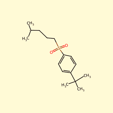 C[C](C)CCCS(=O)(=O)c1ccc(C(C)(C)C)cc1